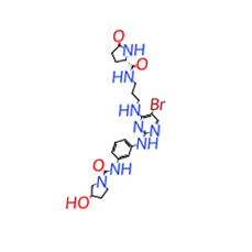 O=C1CC[C@@H](C(=O)NCCCNc2nc(Nc3cccc(NC(=O)N4CC[C@@H](O)C4)c3)ncc2Br)N1